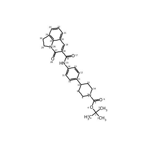 CC(C)(C)OC(=O)N1CCC(c2ccc(NC(=O)c3cc4cccc5c4n(c3=O)CC5)cc2)CC1